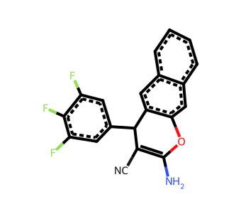 N#CC1=C(N)Oc2cc3ccccc3cc2C1c1cc(F)c(F)c(F)c1